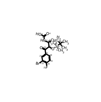 CC(NC(=O)O)C(O[Si](C)(C)C(C)(C)C)C(=O)c1ccc(F)c(Br)c1